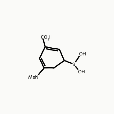 CNC1=CC(C(=O)O)=CC(B(O)O)C1